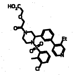 CCc1cnccc1-c1cccc(C2CN(C(=O)COCC(=O)O)CCN2S(=O)(=O)c2cccc(Cl)c2C)c1